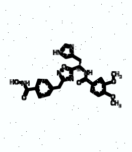 COc1ccc(C(=O)N[C@@H](Cc2c[nH]cn2)c2nc(Cc3ccc(C(=O)NO)cc3)no2)cc1OC